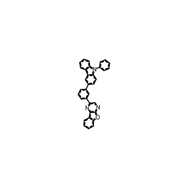 c1ccc(-n2c3ccccc3c3cc(-c4cccc(-c5cnc6oc7ccccc7c6n5)c4)ccc32)cc1